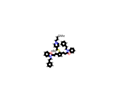 CCCCC(SC1=C(/C=C/c2oc3ccccc3[n+]2CCc2ccccc2)CC/C1=C\C=C1/Oc2ccccc2N1CCc1ccccc1)c1cc[n+](CCCOC)cc1